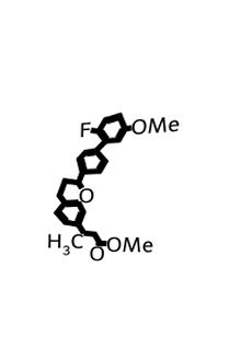 COC(=O)CC(C)c1ccc2c(c1)OC(c1ccc(-c3cc(OC)ccc3F)cc1)CC2